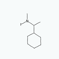 CC(C1CCCCC1)N(C)I